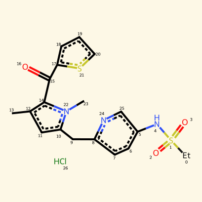 CCS(=O)(=O)Nc1ccc(Cc2cc(C)c(C(=O)c3cccs3)n2C)nc1.Cl